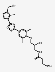 CNCCC(=O)NCC(O)COc1c(C)cc(-c2noc(-c3scc(CC(C)C)c3C)n2)cc1C